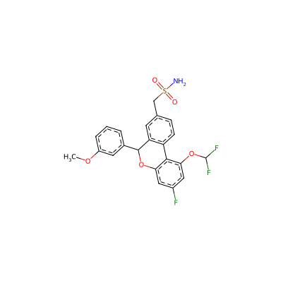 COc1cccc(C2Oc3cc(F)cc(OC(F)F)c3-c3ccc(CS(N)(=O)=O)cc32)c1